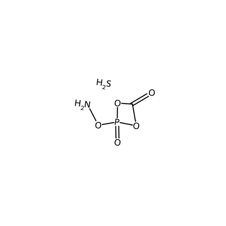 NOP1(=O)OC(=O)O1.S